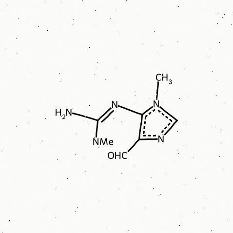 CN/C(N)=N\c1c(C=O)ncn1C